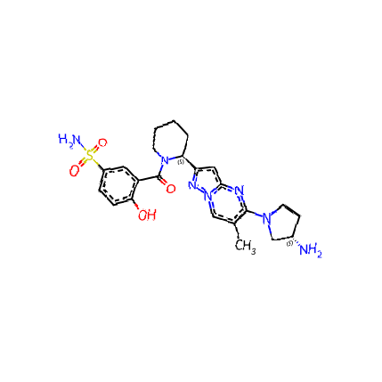 Cc1cn2nc([C@@H]3CCCCN3C(=O)c3cc(S(N)(=O)=O)ccc3O)cc2nc1N1CC[C@H](N)C1